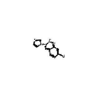 Clc1ccc2c(c1)=NNN(n1ccnc1)C=2